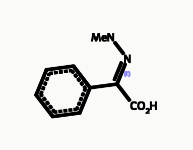 CN/N=C(/C(=O)O)c1ccccc1